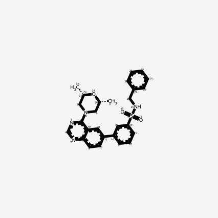 C[C@@H]1CN(c2ncnc3ccc(-c4cccc(S(=O)(=O)NCc5ccccc5)c4)cc23)C[C@H](C)O1